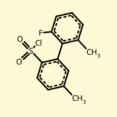 Cc1ccc(S(=O)(=O)Cl)c(-c2c(C)cccc2F)c1